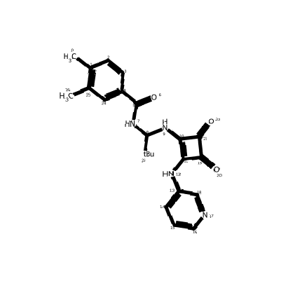 Cc1ccc(C(=O)NC(Nc2c(Nc3cccnc3)c(=O)c2=O)C(C)(C)C)cc1C